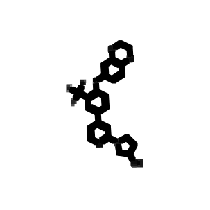 OC1CCN(c2cc(-c3ccc(Sc4ccc5c(c4)OCCO5)c(C(F)(F)F)c3)ccn2)C1